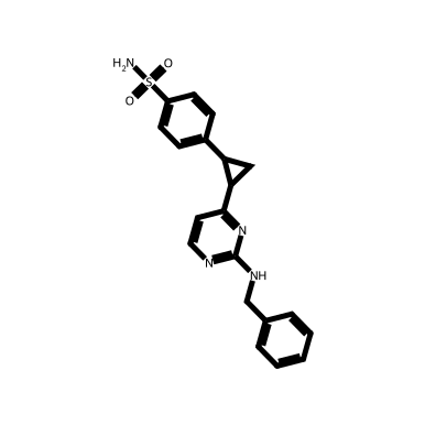 NS(=O)(=O)c1ccc(C2CC2c2ccnc(NCc3ccccc3)n2)cc1